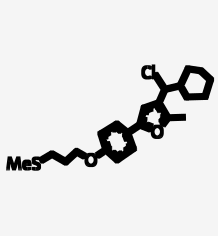 CSCCCOc1ccc(-c2cc(C(Cl)C3CCCCC3)c(C)o2)cc1